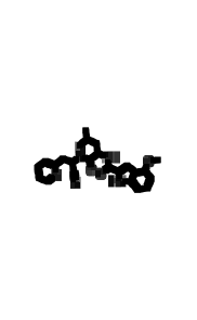 COc1cccc2[nH]c(C(=O)NC(CC(C)C)C(=O)NC(C#N)Cc3ccccn3)cc12